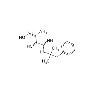 CC(C)(Cc1ccccc1)NC(=N)C(=N)/C(N)=N\O